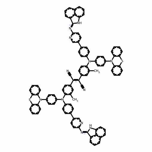 Cc1cc(/C(C#N)=C(\C#N)c2ccc(N(c3ccc(-c4ccc(/N=C5\Nc6cccc7cccc5c67)nc4)cc3)c3ccc(N4c5ccccc5Sc5ccccc54)cc3)c(C)c2)ccc1N(c1ccc(-c2ccc(/N=C3\Nc4cccc5cccc3c45)nc2)cc1)c1ccc(N2c3ccccc3Sc3ccccc32)cc1